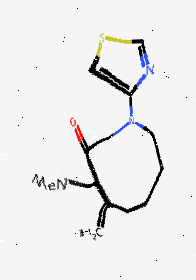 C=C1CCCN(c2cscn2)C(=O)C1NC